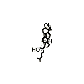 CC(C)CCC[C@@H](CO)[C@H]1CC[C@H]2[C@@H]3CC=C4C5(CC5)[C@H](O)CC[C@]4(C)[C@H]3CC[C@]12C